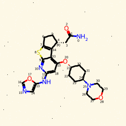 NC(=O)C[C@H]1CCc2sc3nc(Nc4cnco4)cc(O[C@H]4CC[C@H](N5CCOCC5)CC4)c3c21